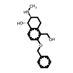 CN[C@H]1CCc2c(ccc(OCc3ccccc3)c2CO)[C@@H]1O